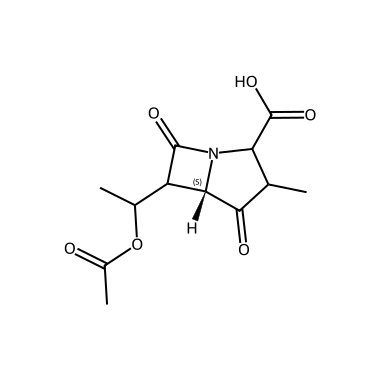 CC(=O)OC(C)C1C(=O)N2C(C(=O)O)C(C)C(=O)[C@H]12